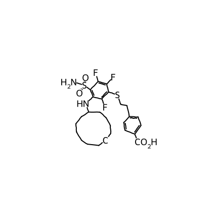 NS(=O)(=O)c1c(F)c(F)c(SCCc2ccc(C(=O)O)cc2)c(F)c1NC1CCCCCCCCCCC1